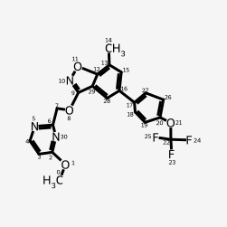 COc1ccnc(COc2noc3c(C)cc(-c4ccc(OC(F)(F)F)cc4)cc23)n1